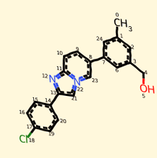 Cc1cc(CO)cc(-c2ccc3nc(-c4ccc(Cl)cc4)cn3c2)c1